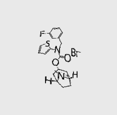 C[N+]1(C)[C@@H]2CC[C@H]1C[C@@H](OC(=O)N(Cc1cccc(F)c1)c1cccs1)C2.[Br-]